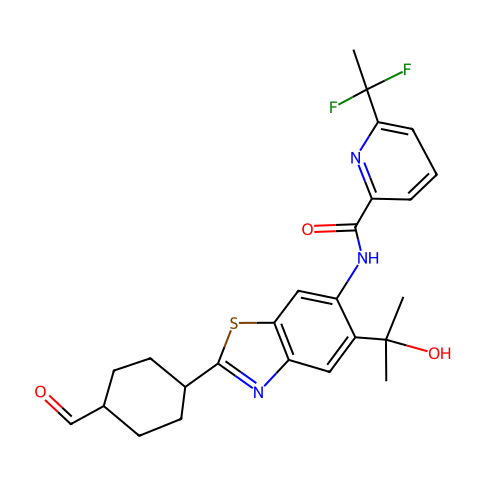 CC(C)(O)c1cc2nc(C3CCC(C=O)CC3)sc2cc1NC(=O)c1cccc(C(C)(F)F)n1